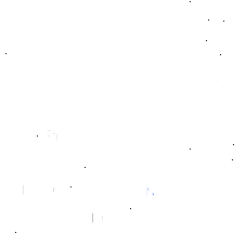 CCCC(C(=O)O)c1c(CC)nc2ccc(Cl)cc2c1-c1ccc(Cl)cc1